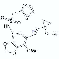 CCOC1(/C=C/c2cc(NS(=O)(=O)Cc3cccs3)c3c(c2OC)OCO3)CC1